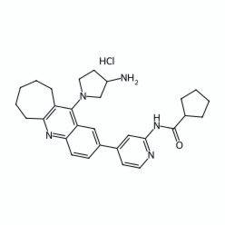 Cl.NC1CCN(c2c3c(nc4ccc(-c5ccnc(NC(=O)C6CCCC6)c5)cc24)CCCCC3)C1